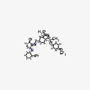 CC(C)c1ccccc1/N=C1\SCC(=O)N1/N=C/c1ccc2c(C(C)Oc3ccc(OC(F)(F)F)cc3)nn(C)c2c1